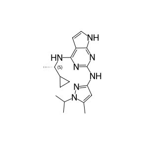 Cc1cc(Nc2nc(N[C@@H](C)C3CC3)c3cc[nH]c3n2)nn1C(C)C